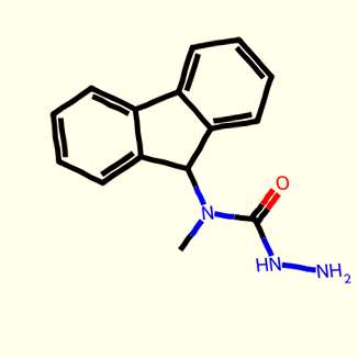 CN(C(=O)NN)C1c2ccccc2-c2ccccc21